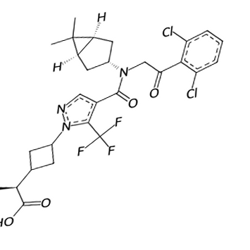 C[C@H](C(=O)O)C1CC(n2ncc(C(=O)N(CC(=O)c3c(Cl)cccc3Cl)[C@@H]3C[C@@H]4[C@H](C3)C4(C)C)c2C(F)(F)F)C1